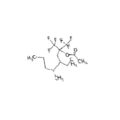 CCCC(C)C(CC)CC(OC(C)=O)(C(F)(F)F)C(F)(F)F